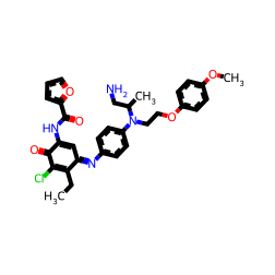 CCC1=C(Cl)C(=O)C(NC(=O)c2ccco2)=C/C1=N\c1ccc(N(CCOc2ccc(OC)cc2)C(C)CN)cc1